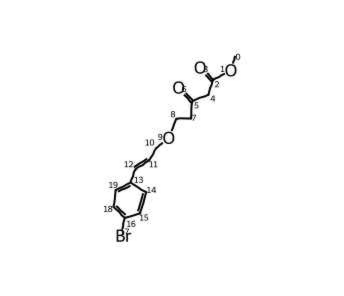 COC(=O)CC(=O)CCOC/C=C/c1ccc(Br)cc1